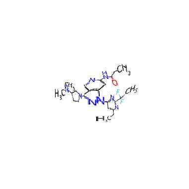 CCC(=O)Nc1cc2c(cn1)c(N1CCC(N(C)C)C1)nn2-c1cc(CC)nc(C(C)(F)F)n1